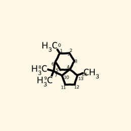 CC1[C]CC23CC1C(C)(C)C2CCC3C